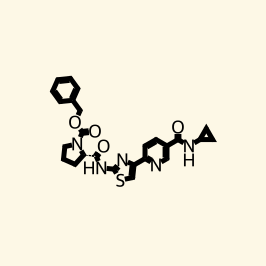 O=C(NC1CC1)c1ccc(-c2csc(NC(=O)[C@@H]3CCCN3C(=O)OCc3ccccc3)n2)nc1